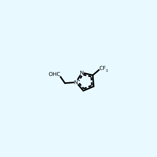 O=CCn1ccc(C(F)(F)F)n1